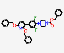 O=C(OCc1ccccc1)N1CCN(c2c(F)cc(-c3ccc(OCc4ccccc4)nc3OCc3ccccc3)cc2F)CC1